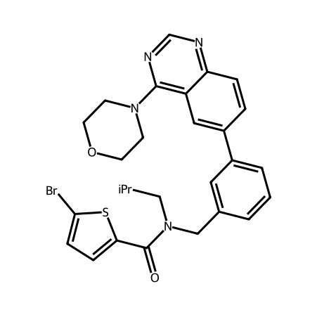 CC(C)CN(Cc1cccc(-c2ccc3ncnc(N4CCOCC4)c3c2)c1)C(=O)c1ccc(Br)s1